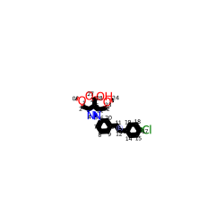 COCc1nn(-c2cccc(/C=C/c3ccc(Cl)cc3)c2)c(COC)c1C(=O)O